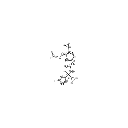 Cc1nc(C(C)(NC(=O)Oc2cnc(C3CC3)c(OCC3CC3)n2)C2CC2)no1